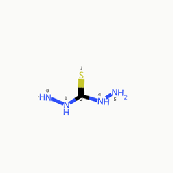 [NH]NC(=S)NN